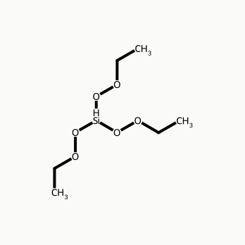 CCOO[SiH](OOCC)OOCC